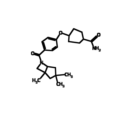 CC1(C)CC2N(C(=O)c3ccc(OC4CCC(C(N)=O)CC4)cc3)CC2(C)C1